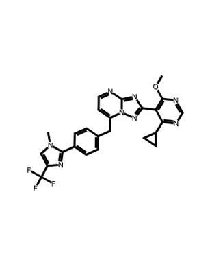 COc1ncnc(C2CC2)c1-c1nc2nccc(Cc3ccc(-c4nc(C(F)(F)F)cn4C)cc3)n2n1